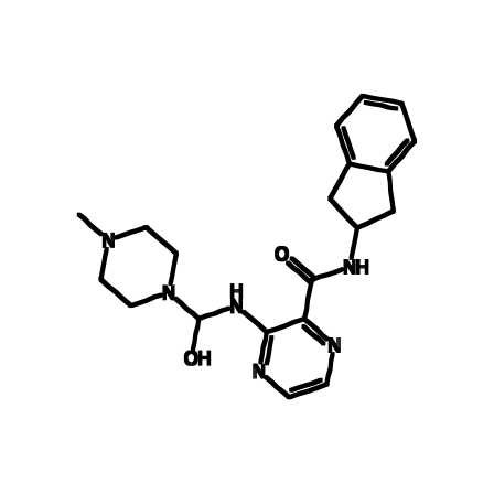 CN1CCN(C(O)Nc2nccnc2C(=O)NC2Cc3ccccc3C2)CC1